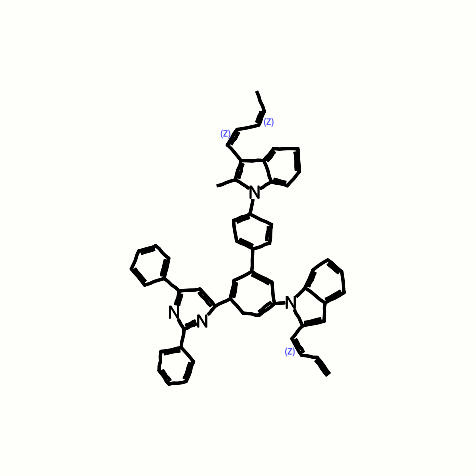 C=C/C=C\c1cc2ccccc2n1C1=CCC(c2cc(-c3ccccc3)nc(-c3ccccc3)n2)=CC(c2ccc(-n3c(C)c(/C=C\C=C/C)c4ccccc43)cc2)=C1